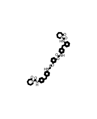 O=C(Nc1ccc(Cc2ccccc2NC(=O)N2CCCCCC2=O)cc1)Oc1cccc(OOCNc2ccc(Cc3ccc(NC(=O)N4CCCCCC4=O)cc3)cc2)c1